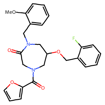 COc1ccccc1CN1CC(OCc2ccccc2F)CN(C(=O)c2ccco2)CC1=O